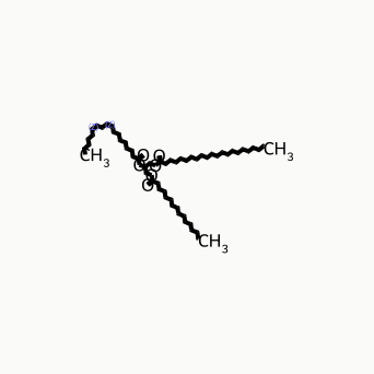 CCCCC/C=C\C/C=C\CCCCCCCC(=O)OC(COC(=O)CCCCCCCCCCCCCCC)COC(=O)CCCCCCCCCCCCCCCCCCCCC